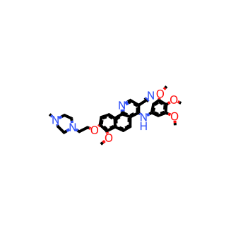 COc1cc(Nc2c(C#N)cnc3c2ccc2c(OC)c(OCCN4CCN(C)CC4)ccc23)cc(OC)c1OC